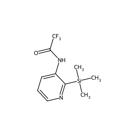 C[Si](C)(C)c1ncccc1NC(=O)C(F)(F)F